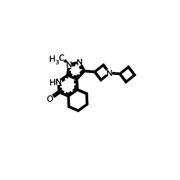 Cn1nc(C2CN(C3CCC3)C2)c2c3c(c(=O)[nH]c21)CCCC3